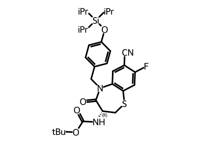 CC(C)[Si](Oc1ccc(CN2C(=O)[C@@H](NC(=O)OC(C)(C)C)CSc3cc(F)c(C#N)cc32)cc1)(C(C)C)C(C)C